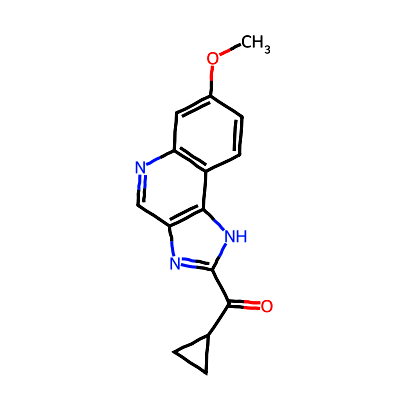 COc1ccc2c(c1)ncc1nc(C(=O)C3CC3)[nH]c12